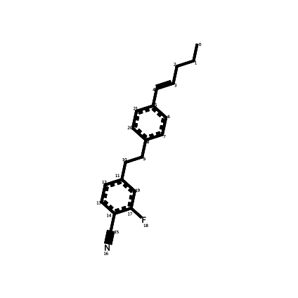 CCCC=Cc1ccc(CCc2ccc(C#N)c(F)c2)cc1